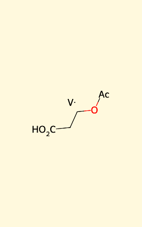 CC(=O)OCCC(=O)O.[V]